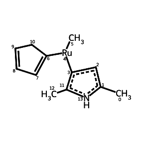 Cc1c[c]([Ru]([CH3])[C]2=CC=CC2)c(C)[nH]1